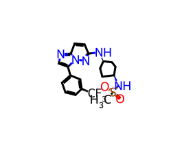 CS(=O)(=O)N[C@H]1CC[C@H](Nc2ccc3ncc(-c4cccc(C(F)(F)F)c4)n3n2)CC1